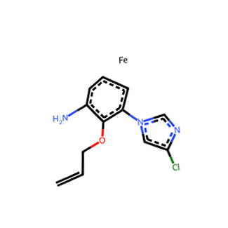 C=CCOc1c(N)cccc1-n1cnc(Cl)c1.[Fe]